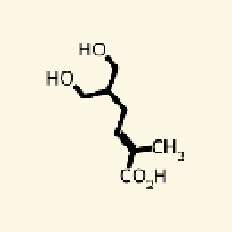 CC(=CCC(CO)CO)C(=O)O